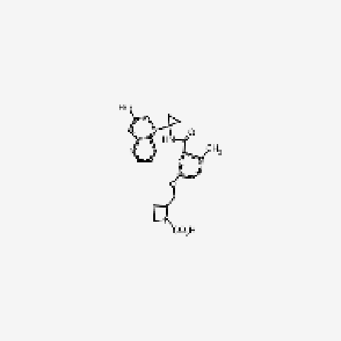 Cc1ccc(OCC2CCN2C(=O)O)cc1C(=O)NC1(c2cc(O)cc3ncccc23)CC1